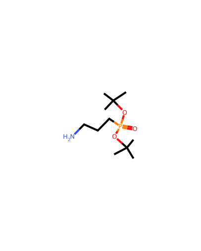 CC(C)(C)OP(=O)(CCCN)OC(C)(C)C